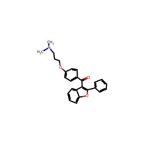 CN(C)CCCOc1ccc(C(=O)c2c(-c3ccccc3)oc3ccccc23)cc1